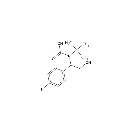 CC(C)(C)N(C(=O)O)C(CO)c1ccc(F)cc1